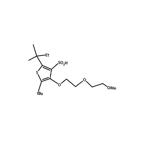 CCC(C)(C)c1sc(C(C)(C)C)c(OCCOCCOC)c1S(=O)(=O)O